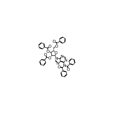 O=C(OC[C@H]1O[C@@H](n2cnc3c(N(C(=O)c4ccccc4)C(=O)c4ccccc4)ncnc32)[C@@H](OC(=O)c2ccccc2)C1OC(=O)c1ccccc1)c1ccccc1